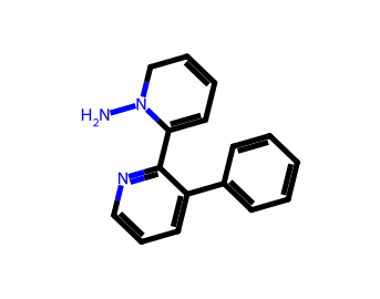 NN1CC=CC=C1c1ncccc1-c1ccccc1